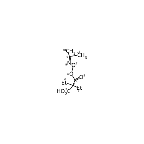 CCC(CC)(C(=O)O)C(=O)OON=C(C)C